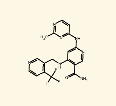 Cc1nccc(Nc2cc(NCc3cnccc3C(F)(F)F)c(C(N)=O)cn2)n1